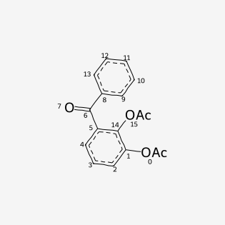 CC(=O)Oc1cccc(C(=O)c2ccccc2)c1OC(C)=O